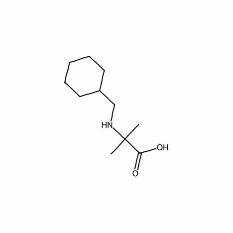 CC(C)(NCC1CCCCC1)C(=O)O